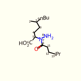 CCCCC(C)CCC(C(=O)O)N(N)C(=O)CCC(C)C